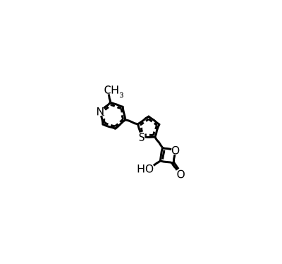 Cc1cc(-c2ccc(C3=C(O)C(=O)O3)s2)ccn1